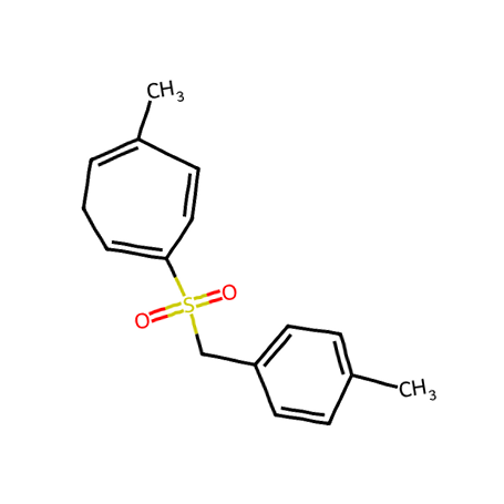 CC1=CCC=C(S(=O)(=O)Cc2ccc(C)cc2)C=C1